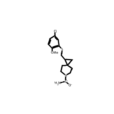 COc1ccc(Cl)cc1SCC1CC12CCN([S+](N)[O-])CC2